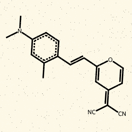 Cc1cc(N(C)C)ccc1C=CC1=CC(=C(C#N)C#N)C=CO1